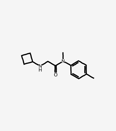 Cc1ccc(N(C)C(=O)CNC2CCC2)cc1